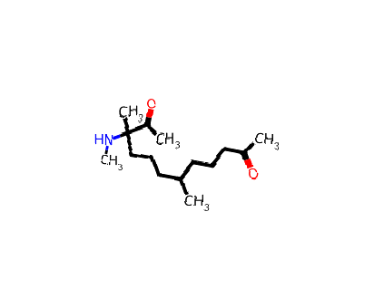 CNC(C)(CCCC(C)CCCC(C)=O)C(C)=O